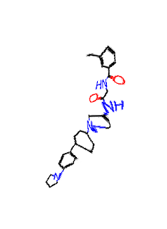 Cc1cccc(C(=O)NCC(=O)NC2CN(C3CCC(c4ccc(N5CCCC5)cc4)CC3)C2)c1